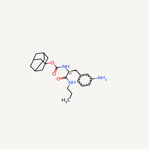 CCCNC(=O)[C@H](Cc1cccc(N)c1)NC(=O)OC12CC3CC(CC(C3)C1)C2